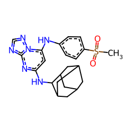 CS(=O)(=O)c1ccc(Nc2cc(NC3C4CC5CC(C4)CC3C5)nc3ncnn23)cc1